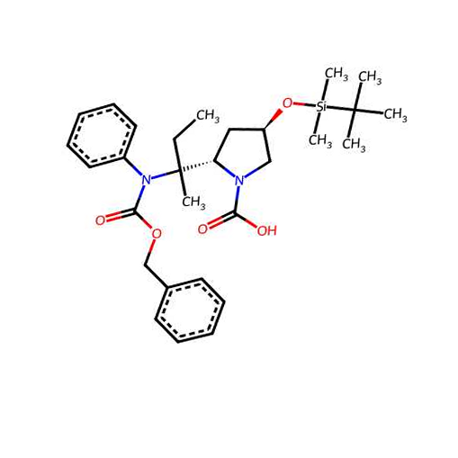 CCC(C)([C@@H]1C[C@@H](O[Si](C)(C)C(C)(C)C)CN1C(=O)O)N(C(=O)OCc1ccccc1)c1ccccc1